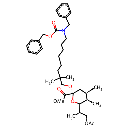 COC(=O)[C@@]1(OCC(C)(C)CCCCCCN(Cc2ccccc2)C(=O)OCc2ccccc2)C[C@@H](C)[C@@H](C)C([C@H](C)COC(C)=O)O1